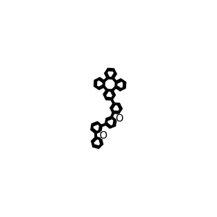 c1ccc2c(c1)-c1ccccc1-c1ccc(-c3ccc4oc5ccc(-c6cccc7c6oc6ccccc67)cc5c4c3)cc1-c1ccccc1-2